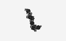 COc1cc2c(Oc3ccc(NC(=O)C4(C(=O)Nc5ccc(F)cc5)CC4)cc3)ncnc2cc1OC(=O)N1CCNC[C@H]1C